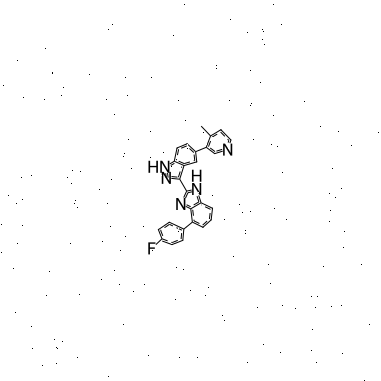 Cc1ccncc1-c1ccc2[nH]nc(-c3nc4c(-c5ccc(F)cc5)cccc4[nH]3)c2c1